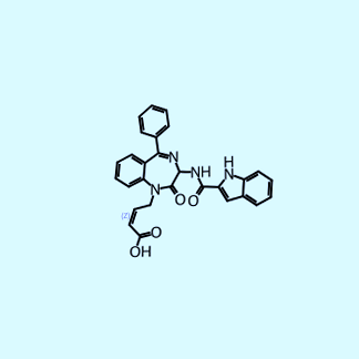 O=C(O)/C=C\CN1C(=O)C(NC(=O)c2cc3ccccc3[nH]2)N=C(c2ccccc2)c2ccccc21